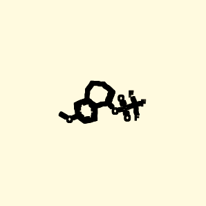 COc1ccc2c(c1)CCCC=C2OS(=O)(=O)C(F)(F)F